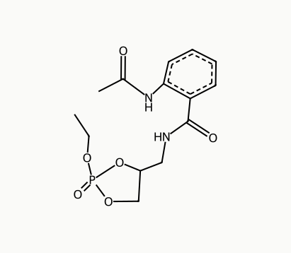 CCOP1(=O)OCC(CNC(=O)c2ccccc2NC(C)=O)O1